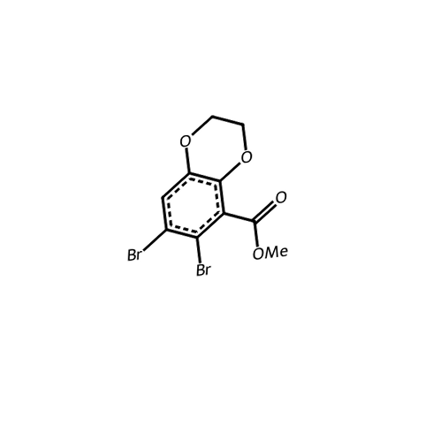 COC(=O)c1c(Br)c(Br)cc2c1OCCO2